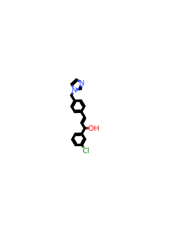 OC(C=Cc1ccc(Cn2ccnc2)cc1)c1cccc(Cl)c1